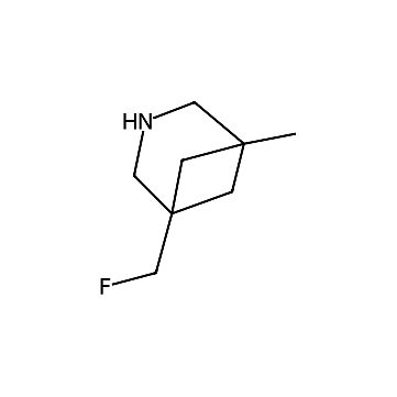 CC12CNCC(CF)(C1)C2